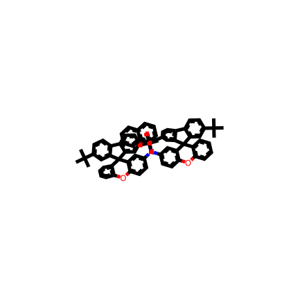 CC(C)(C)c1ccc2c(c1)C1(c3ccccc3Oc3ccc(N(c4ccc5c(c4)C4(c6ccccc6O5)c5cc(C(C)(C)C)ccc5-c5ccc(C(C)(C)C)cc54)c4cccc5ccccc45)cc31)c1cc(C(C)(C)C)ccc1-2